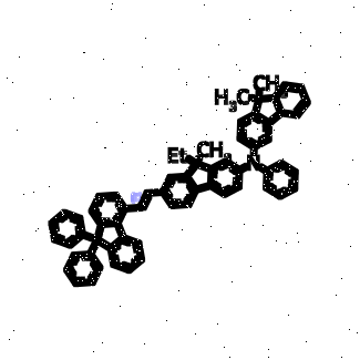 CCC1(C)c2cc(/C=C/c3cccc4c3-c3ccccc3C4(c3ccccc3)c3ccccc3)ccc2-c2ccc(N(c3ccccc3)c3ccc4c(c3)C3C=CC=CC3C4(C)C)cc21